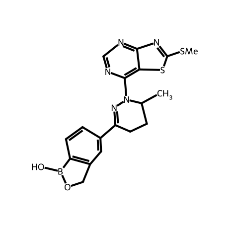 CSc1nc2ncnc(N3N=C(c4ccc5c(c4)COB5O)CCC3C)c2s1